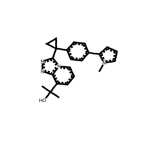 Cn1cccc1-c1ccc(C2(c3nnc4c(C(C)(C)O)cccn34)CC2)cc1